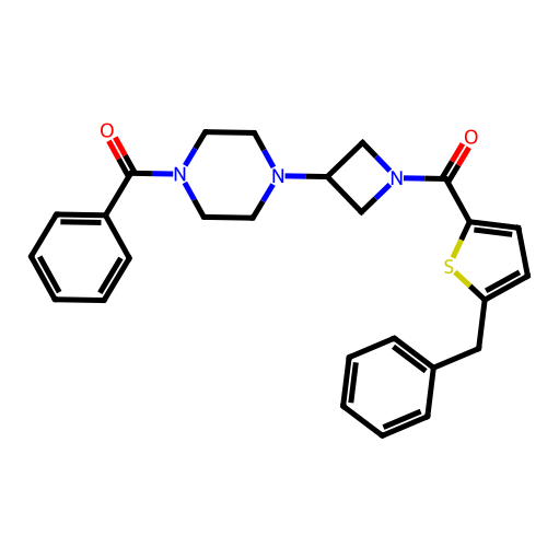 O=C(c1ccccc1)N1CCN(C2CN(C(=O)c3ccc(Cc4ccccc4)s3)C2)CC1